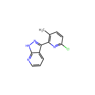 Cc1ccc(Cl)nc1-c1n[nH]c2ncccc12